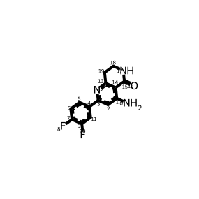 Nc1cc(-c2ccc(F)c(F)c2)nc2c1C(=O)NCC2